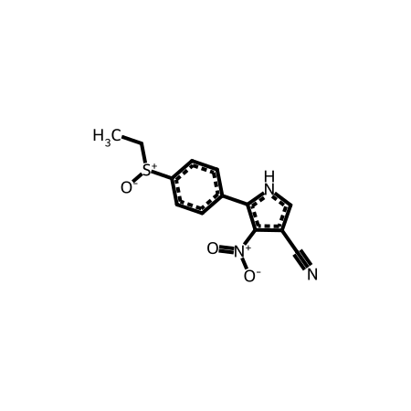 CC[S+]([O-])c1ccc(-c2[nH]cc(C#N)c2[N+](=O)[O-])cc1